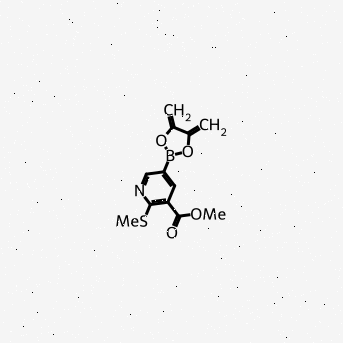 C=C1OB(c2cnc(SC)c(C(=O)OC)c2)OC1=C